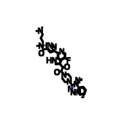 C=NN(/C(=N\N)N1CCN(C(=O)C(=O)c2c[nH]c3c(-c4cc(C(=O)N(C)CCCN(C)C)[nH]n4)ncc(F)c23)CC1)c1ccccc1